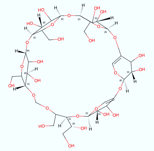 OCC1O[C@@H]2OC3=CO[C@H](OC4=CO[C@H](O[C@@H]([C@H](O)CO)C(CO)OCO[C@@H]5C(CO)O[C@H](O[C@@H]6C(CO)O[C@H](O[C@H]1C(O)[C@@H]2O)C(O)[C@H]6O)C(O)[C@H]5O)[C@@H](O)C4O)[C@@H](O)C3O